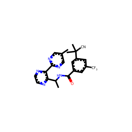 Cc1cnc(-c2nccnc2C(C)NC(=O)c2cc(C(F)(F)F)cc(C(C)(C)C#N)c2)nc1